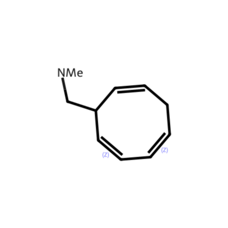 CNCC1C=CC/C=C\C=C/1